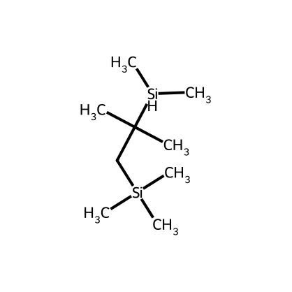 C[SiH](C)C(C)(C)C[Si](C)(C)C